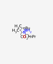 CCCCC(C)C(C)C(CC(=O)O)N(N)C(=O)CCC(C)C